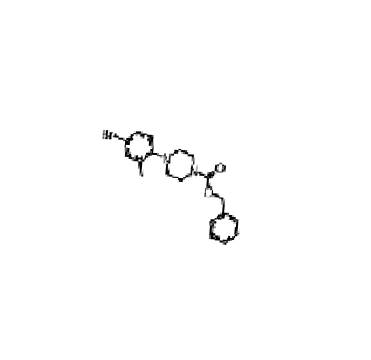 Cc1cc(Br)ccc1N1CCN(C(=O)OCc2ccccc2)CC1